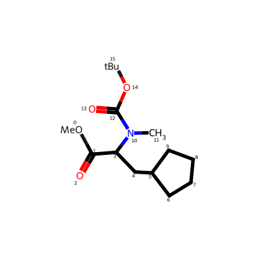 COC(=O)C(CC1CCCC1)N(C)C(=O)OC(C)(C)C